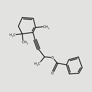 CC1=C(C#CC(C)OC(=O)c2ccccc2)C(C)(C)CC=C1